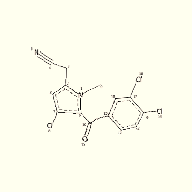 Cn1c(CC#N)cc(Cl)c1C(=O)c1ccc(Cl)c(Cl)c1